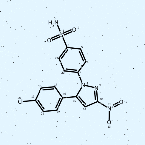 NS(=O)(=O)c1ccc(-n2nc([N+](=O)[O-])cc2-c2ccc(Cl)cc2)cc1